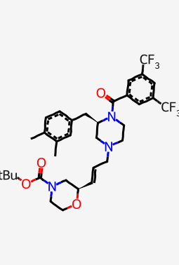 Cc1ccc(C[C@@H]2CN(C/C=C/[C@@H]3CN(C(=O)OC(C)(C)C)CCO3)CCN2C(=O)c2cc(C(F)(F)F)cc(C(F)(F)F)c2)cc1C